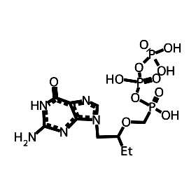 CCC(Cn1cnc2c(=O)[nH]c(N)nc21)OCP(=O)(O)OP(=O)(O)OP(=O)(O)O